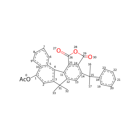 CC(=O)Oc1cc2c(c3ccccc13)-c1c(cc(C(C)(C)c3ccccc3)c3c1C(=O)OC3=O)C2(C)C